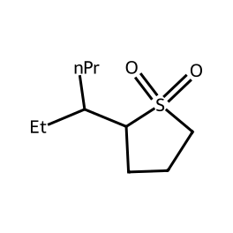 CCCC(CC)C1CCCS1(=O)=O